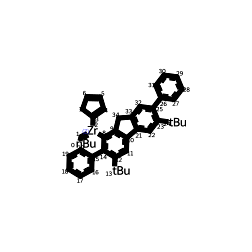 CCCC/[CH]=[Zr](/[C]1=CC=CC1)[c]1c2c(cc(C(C)(C)C)c1-c1ccccc1)-c1cc(C(C)(C)C)c(-c3ccccc3)cc1C2